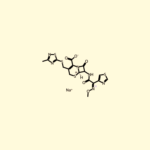 CO/N=C(\C(=O)NC1C(=O)N2C(C(=O)[O-])=C(CSc3nc(C)ns3)CS[C@H]12)c1cscn1.[Na+]